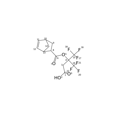 O=C(O)CC(OC(=O)C1CC2C=CC1C2)(C(F)(F)F)C(F)(F)F